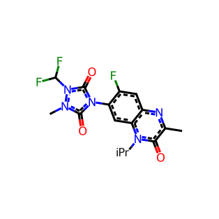 Cc1nc2cc(F)c(-n3c(=O)n(C)n(C(F)F)c3=O)cc2n(C(C)C)c1=O